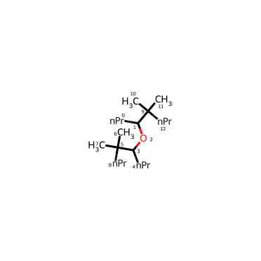 CCCC(OC(CCC)C(C)(C)CCC)C(C)(C)CCC